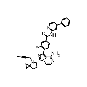 CC#CCN1[C@H](c2nc(-c3ccc(C(=O)Nc4cc(-c5ccccc5)ccn4)cc3F)c3c(N)nccn23)CCC12CC2